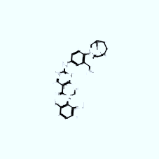 CN1CC2CCC1CN(c1ccc(Nc3ncc4c(n3)OCN(c3c(Cl)cccc3Cl)C4=O)cc1CO)C2